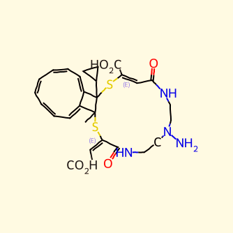 CC12S/C(=C/C(=O)O)C(=O)NCCN(N)CCNC(=O)/C=C(\C(=O)O)SC1(C1CC1)c1ccccccccc12